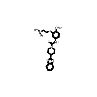 COc1ccc(NC(=O)N2CCC(c3nc4ccccc4s3)CC2)cc1OCCN(C(C)C)C(C)C